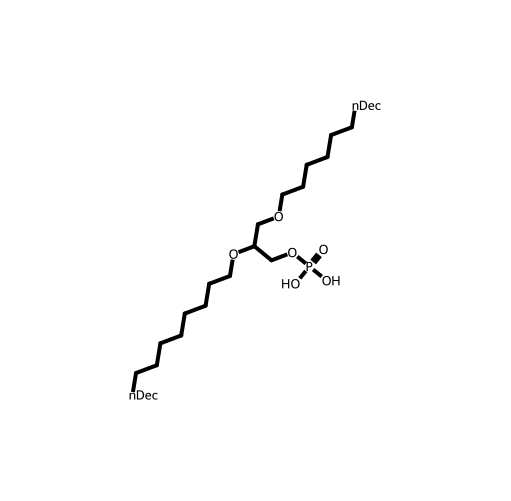 CCCCCCCCCCCCCCCCCCOC(COCCCCCCCCCCCCCCCC)COP(=O)(O)O